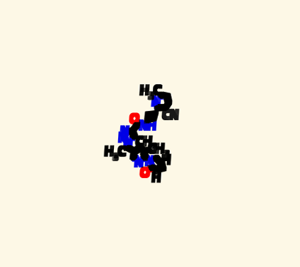 Cc1ccc(C#N)c([C@H]2C[C@@H](NC(=O)c3cn([C@@H](C)c4cnc(N5C[C@H]6C[C@H]6C5=O)c(C)c4C)nn3)C2)n1